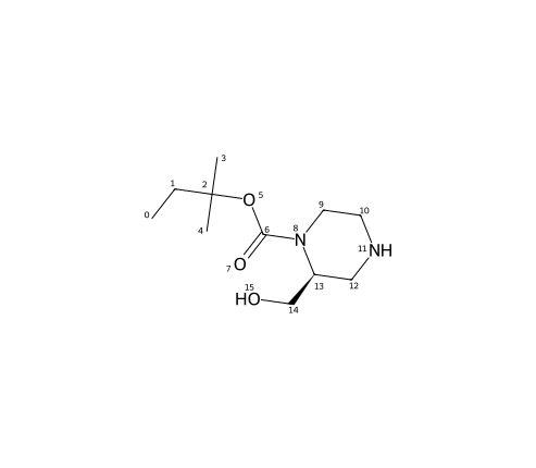 CCC(C)(C)OC(=O)N1CCNC[C@H]1CO